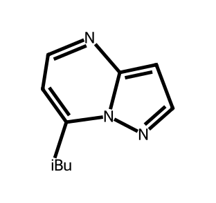 CCC(C)c1ccnc2ccnn12